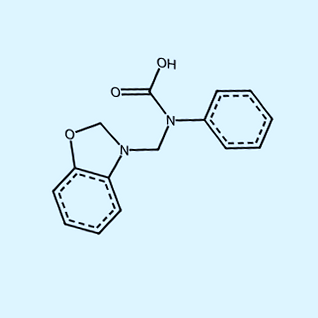 O=C(O)N(CN1COc2ccccc21)c1ccccc1